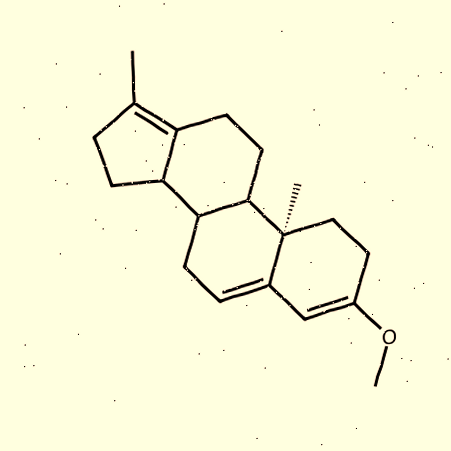 COC1=CC2=CCC3C4CCC(C)=C4CCC3[C@@]2(C)CC1